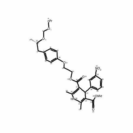 CCCOCO[C@@H](C)Cc1ccc(OCCOC(=O)C2=C(C)NC(C)=C(C(=O)OC)C2c2cccc([N+](=O)[O-])c2)cc1